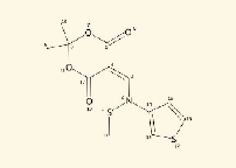 CSN(C=C1C(=O)OC(C)(C)OC1=O)c1ccsc1